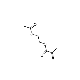 C=C(C)C(=O)OCCOC(C)=O